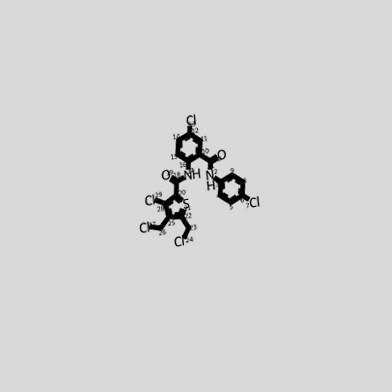 O=C(Nc1ccc(Cl)cc1)c1cc(Cl)ccc1NC(=O)c1sc(CCl)c(CCl)c1Cl